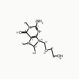 CN1c2c(nc(N)n(C)c2=O)N(COCCO)C1I